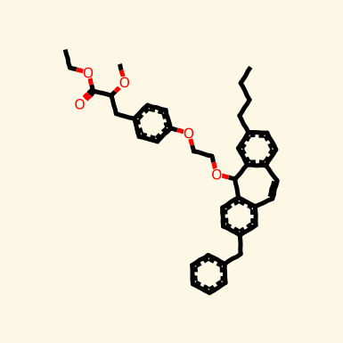 CCCCc1ccc2c(c1)C(OCCOc1ccc(CC(OC)C(=O)OCC)cc1)c1ccc(Cc3ccccc3)cc1C=C2